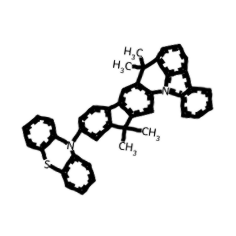 CC1(C)c2cc(N3c4ccccc4Sc4ccccc43)ccc2-c2cc3c(cc21)-n1c2ccccc2c2cccc(c21)C3(C)C